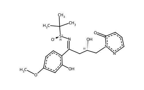 COc1ccc(C(C[C@H](O)Cn2ncccc2=O)=N[S@@+]([O-])C(C)(C)C)c(O)c1